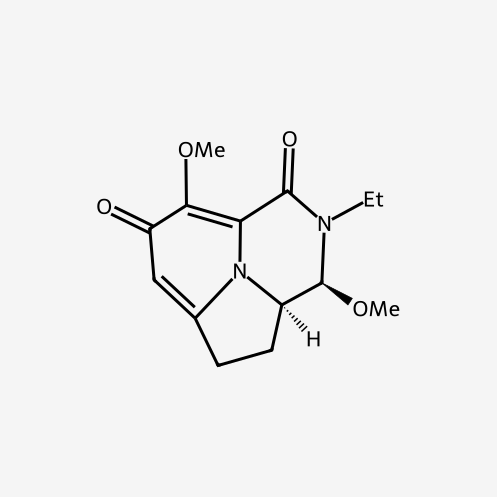 CCN1C(=O)c2c(OC)c(=O)cc3n2[C@H](CC3)[C@@H]1OC